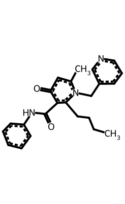 CCCCc1c(C(=O)Nc2ccccc2)c(=O)cc(C)n1Cc1cccnc1